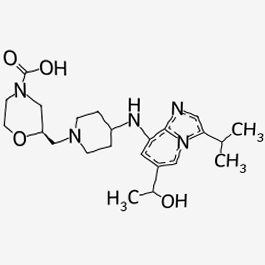 CC(C)c1cnc2c(NC3CCN(C[C@@H]4CN(C(=O)O)CCO4)CC3)cc(C(C)O)cn12